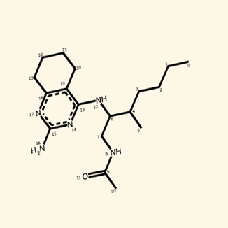 CCCCC(C)C(CNC(C)=O)Nc1nc(N)nc2c1CCCC2